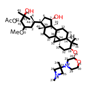 COC(C[C@@H](C)[C@H]1C[C@H](O)[C@@]2(C)C3CC[C@H]4C(C)(C)[C@@H](O[C@H]5CN(C6(C)CN(C)C6)CCO5)CC[C@@]45C[C@@]35CC[C@]12C)[C@H](OC(C)=O)C(C)(C)O